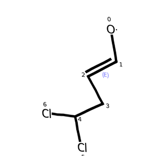 [O]/C=C/CC(Cl)Cl